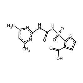 Cc1cc(C)nc(NC(=O)NS(=O)(=O)c2sccc2C(=O)O)n1